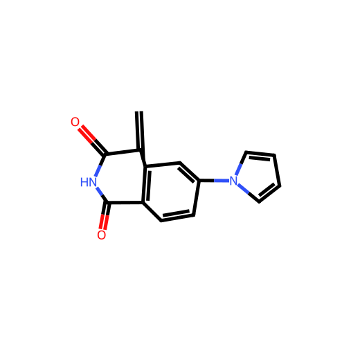 C=C1C(=O)NC(=O)c2ccc(-n3cccc3)cc21